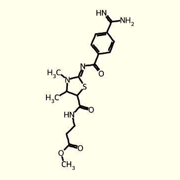 COC(=O)CCNC(=O)C1SC(=NC(=O)c2ccc(C(=N)N)cc2)N(C)C1C